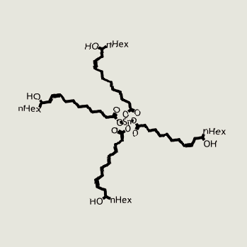 CCCCCCC(O)C/C=C\CCCCCCCC(=O)[O][Sn]([O]C(=O)CCCCCCC/C=C\CC(O)CCCCCC)([O]C(=O)CCCCCCC/C=C\CC(O)CCCCCC)[O]C(=O)CCCCCCC/C=C\CC(O)CCCCCC